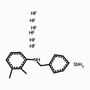 Cc1cccc(NCc2ccccc2)c1C.F.F.F.F.F.F.[SbH3]